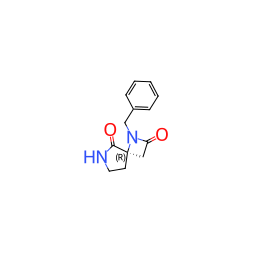 O=C1C[C@@]2(CCNC2=O)N1Cc1ccccc1